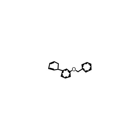 C1=CCC(c2cccc(OCc3ccccc3)c2)C=C1